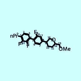 CCCc1ccc(-c2ccc(C3CCC(COC)OC3)cc2F)c(F)c1F